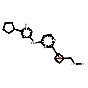 CC(C)NCC12CC(C1)N(c1nccc(Nc3cc(C4CCCC4)[nH]n3)n1)C2